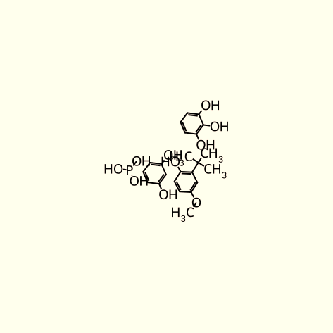 COc1ccc(O)c(C(C)(C)C)c1.OP(O)O.Oc1cccc(O)c1.Oc1cccc(O)c1O